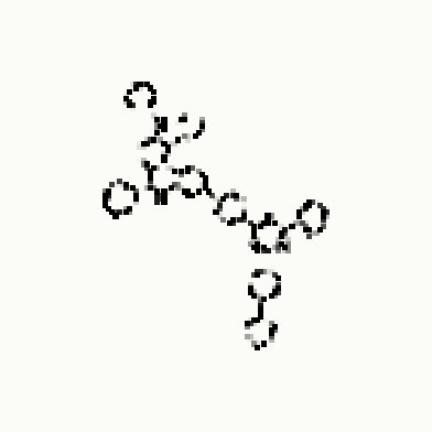 c1ccc(-c2ccc(-c3nc(-c4ccccc4)nc(-c4ccc(-c5ccc6c(c5)nc(-c5ccccc5)c5ccc7c(c8ccccc8n7-c7ccccc7)c56)cc4)n3)cc2)cc1